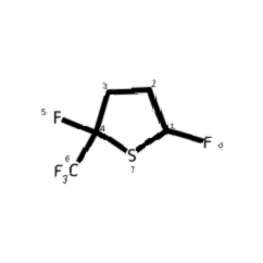 FC1CCC(F)(C(F)(F)F)S1